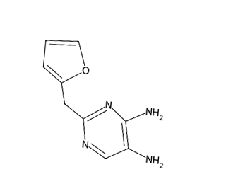 Nc1cnc(Cc2ccco2)nc1N